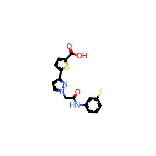 O=C(Cn1ccc(-c2ccc(C(=O)O)s2)n1)Nc1cccc(F)c1